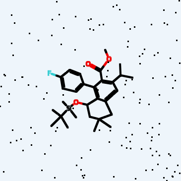 COC(=O)c1c(C(C)C)cc2c(c1-c1ccc(F)cc1)C(O[Si](C)(C)C(C)(C)C)CC(C)(C)C2